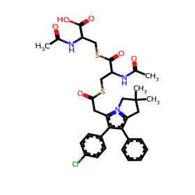 CC(=O)NC(CSC(=O)C(CSC(=O)Cc1c(-c2ccc(Cl)cc2)c(-c2ccccc2)c2n1CC(C)(C)C2)NC(C)=O)C(=O)O